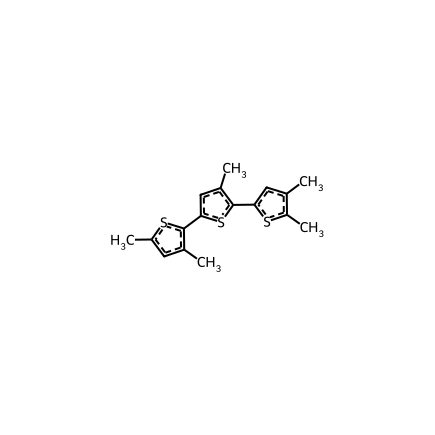 Cc1cc(C)c(-c2cc(C)c(-c3cc(C)c(C)s3)s2)s1